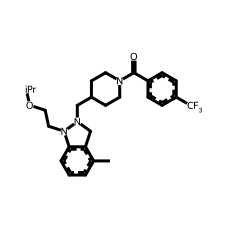 Cc1cccc2c1CN(CC1CCN(C(=O)c3ccc(C(F)(F)F)cc3)CC1)N2CCOC(C)C